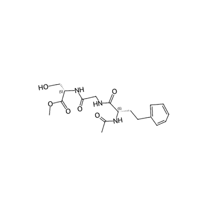 COC(=O)[C@H](CO)NC(=O)CNC(=O)[C@H](CCc1ccccc1)NC(C)=O